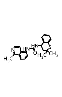 Cc1nccc2c(NC(=O)NC3CC(C)(C)Sc4ccccc43)cccc12